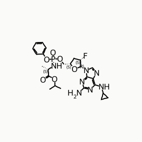 CC(C)OC(=O)[C@H](C)NP(=O)(OC[C@@H]1C[C@H](F)[C@H](n2cnc3c(NC4CC4)nc(N)nc32)O1)Oc1ccccc1